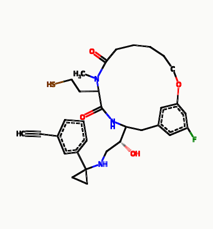 C#Cc1cccc(C2(NC[C@@H](O)C3Cc4cc(F)cc(c4)OCCCCCC(=O)N(C)C(CCS)C(=O)N3)CC2)c1